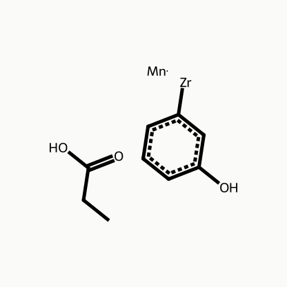 CCC(=O)O.Oc1ccc[c]([Zr])c1.[Mn]